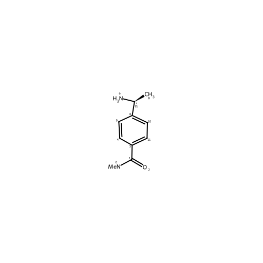 CNC(=O)c1ccc([C@H](C)N)cc1